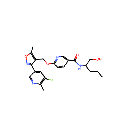 CCCC(CO)NC(=O)c1ccc(OCc2c(-c3cnc(C)c(F)c3)noc2C)nc1